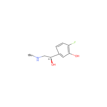 CC(C)(C)NC[C@H](O)c1ccc(F)c(O)c1